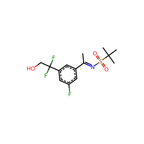 C/C(=N\S(=O)(=O)C(C)(C)C)c1cc(F)cc(C(F)(F)CO)c1